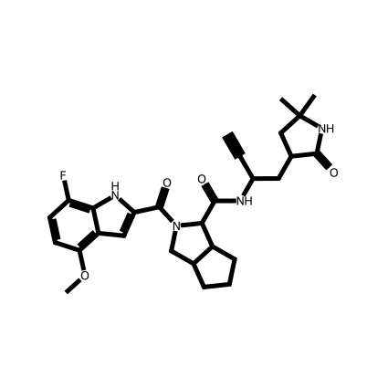 C#CC(CC1CC(C)(C)NC1=O)NC(=O)C1C2CCCC2CN1C(=O)c1cc2c(OC)ccc(F)c2[nH]1